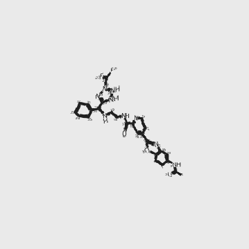 CC(=O)Nc1ccc2oc(-c3ccnc(C(=O)NCCNC(C4=NN(C(F)F)NN4)c4ccccc4)c3)nc2c1